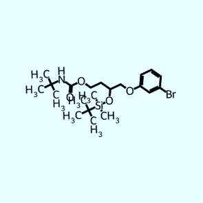 CC(C)(C)NC(=O)OCCC(COc1cccc(Br)c1)O[Si](C)(C)C(C)(C)C